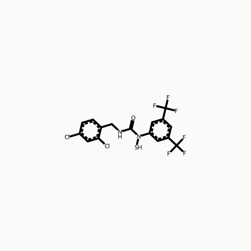 O=C(NCc1ccc(Cl)cc1Cl)N(S)c1cc(C(F)(F)F)cc(C(F)(F)F)c1